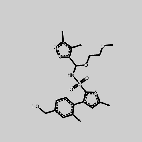 COCCOC(NS(=O)(=O)c1sc(C)cc1-c1ccc(CO)cc1C)c1noc(C)c1C